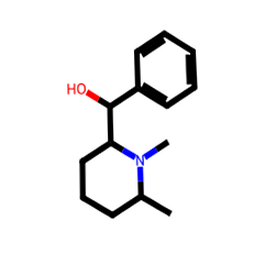 CC1CCCC(C(O)c2ccccc2)N1C